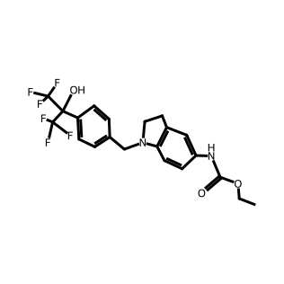 CCOC(=O)Nc1ccc2c(c1)CCN2Cc1ccc(C(O)(C(F)(F)F)C(F)(F)F)cc1